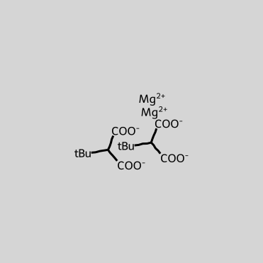 CC(C)(C)C(C(=O)[O-])C(=O)[O-].CC(C)(C)C(C(=O)[O-])C(=O)[O-].[Mg+2].[Mg+2]